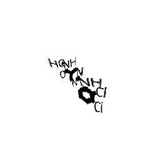 O=C(NO)c1cnc(Nc2cccc(Cl)c2Cl)nc1